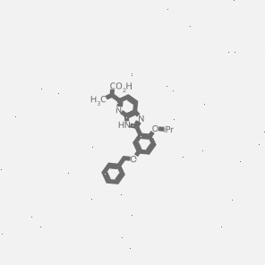 CC(C)Oc1ccc(OCc2ccccc2)cc1-c1nc2ccc(C(C)C(=O)O)nc2[nH]1